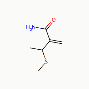 C=C(C(N)=O)C(C)SC